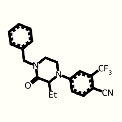 CCC1C(=O)N(Cc2ccccc2)CCN1c1ccc(C#N)c(C(F)(F)F)c1